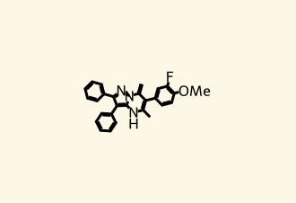 C=C1C(c2ccc(OC)c(F)c2)=C(C)Nc2c(-c3ccccc3)c(-c3ccccc3)nn21